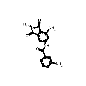 CN1C(=O)c2cc(NC(=O)c3cccc(N)c3)cc(N)c2C1=O